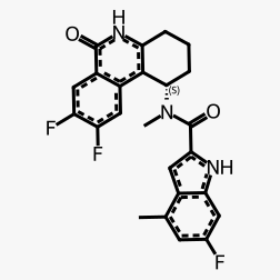 Cc1cc(F)cc2[nH]c(C(=O)N(C)[C@H]3CCCc4[nH]c(=O)c5cc(F)c(F)cc5c43)cc12